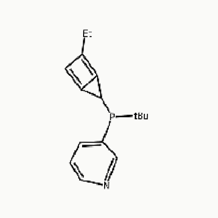 CCC1=C2C(=C1)C2P(c1cccnc1)C(C)(C)C